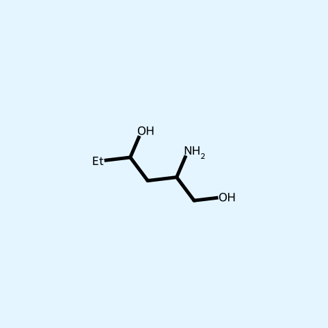 CCC(O)CC(N)CO